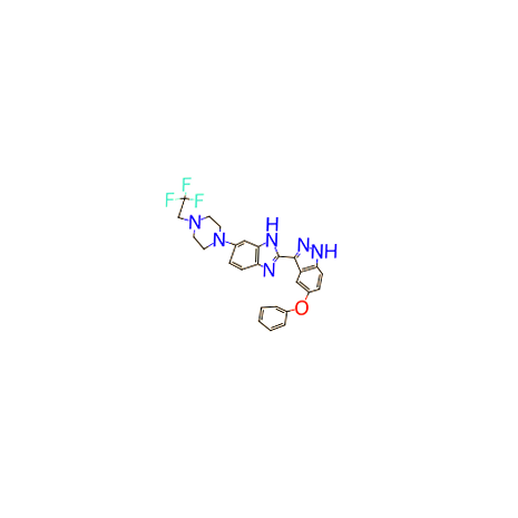 FC(F)(F)CN1CCN(c2ccc3nc(-c4n[nH]c5ccc(Oc6ccccc6)cc45)[nH]c3c2)CC1